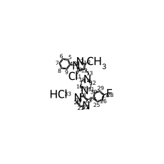 Cc1nn(-c2ccccc2)c(Cl)c1CN1CCN(c2nccnc2-c2ccc(F)cc2)CC1.Cl